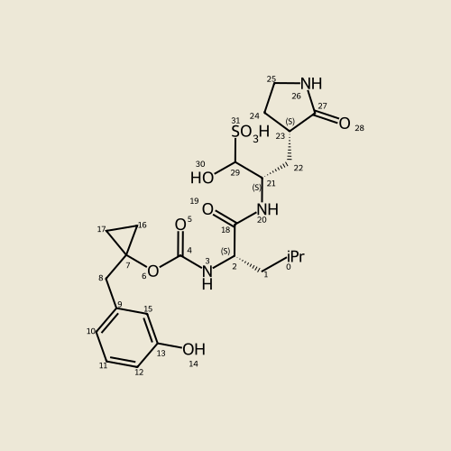 CC(C)C[C@H](NC(=O)OC1(Cc2cccc(O)c2)CC1)C(=O)N[C@@H](C[C@@H]1CCNC1=O)C(O)S(=O)(=O)O